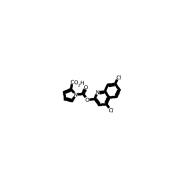 O=C(O)c1cccn1C(=O)Oc1cc(Cl)c2ccc(Cl)cc2n1